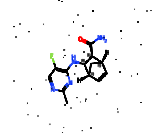 Cc1ncc(F)c(N[C@H]2[C@@H](C(N)=O)[C@@H]3C=C[C@H]2C3)n1